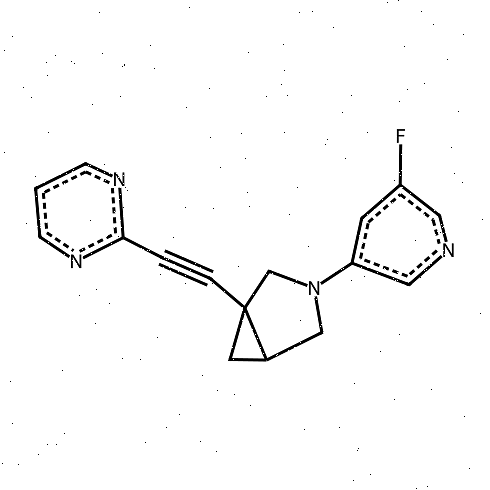 Fc1cncc(N2CC3CC3(C#Cc3ncccn3)C2)c1